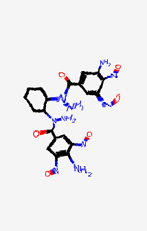 Nc1cc(C(=O)N(N)C2CCCCC2N(N)C(=O)c2cc(N=O)c(N)c(N=O)c2)cc(N=O)c1N=O